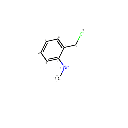 CNc1ccccc1CCl